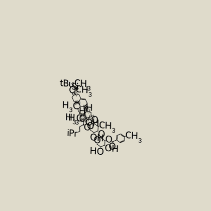 Cc1ccc(C(=O)OC2C(OC3C(O)COC(O[C@H]4C[C@H]5[C@@H]6CC=C7C[C@@H](O[Si](C)(C)C(C)(C)C)CC[C@]7(C)C6CC[C@]5(C)[C@@]4(O)[C@H](C)C(=O)CCC(C)C)C3C)OCC(O)C2O)cc1